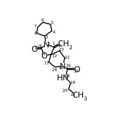 C=C1N(C2CCCCC2)C(=O)OC12CCN(C(=O)NCCC)CC2